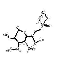 CCCCOC1C(F)OC([C@@H](COP(=O)(OCCCC)OCCCC)OCCCC)[C@@H](OCCCC)C1OCCCC